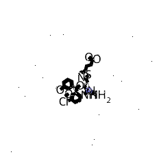 COC(=O)CCc1cnc(C[C@H]2O[C@H](c3cccc(OC)c3OC)c3cc(Cl)ccc3N/C2=N\N)s1